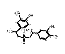 CC(=O)OC(CS(=O)(=O)CC(OC(C)=O)c1ccc(O)c(N)c1)c1ccc(O)c(N)c1